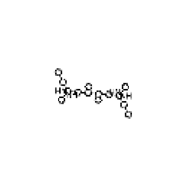 C1=C(c2ccc(-c3ccc(-c4ccc(-c5ccc(C6C=C(c7ccc(-c8ccccc8)cc7)NC(c7ccccc7)N6)cc5)c5ccccc45)c4ccccc34)cc2)NC(c2ccccc2)NC1c1ccc(-c2ccccc2)cc1